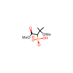 COC(=O)C(C(C)(C)OC)P(=O)(O)O